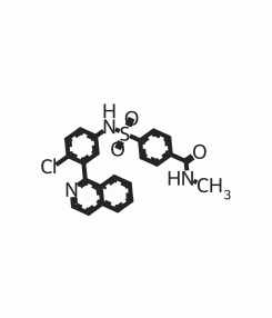 CNC(=O)c1ccc(S(=O)(=O)Nc2ccc(Cl)c(-c3nccc4ccccc34)c2)cc1